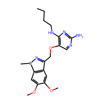 CCCCNc1nc(N)ncc1OCC1=NB(C)c2cc(OC)c(OC)cc21